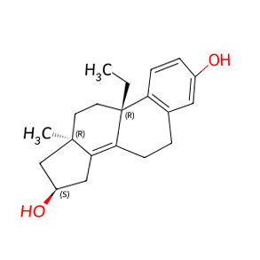 CC[C@]12CC[C@]3(C)C[C@H](O)CC3=C1CCc1cc(O)ccc12